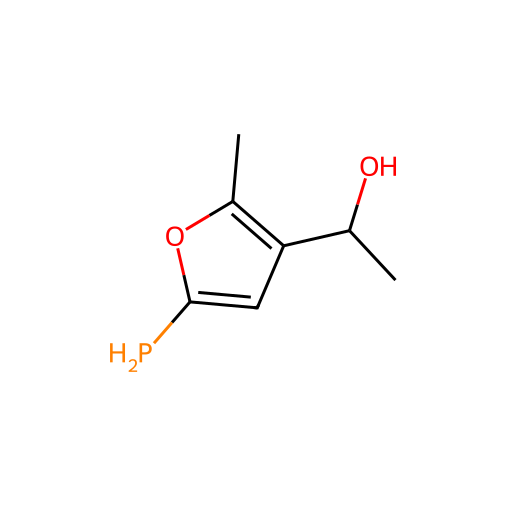 Cc1oc(P)cc1C(C)O